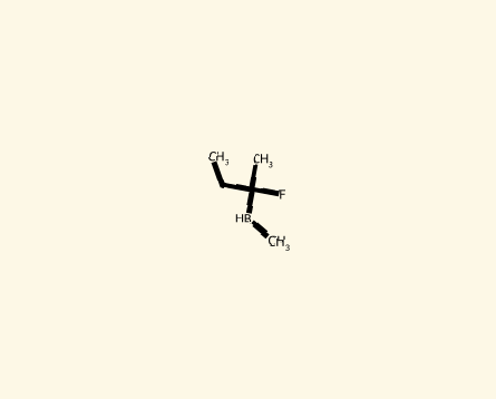 CBC(C)(F)CC